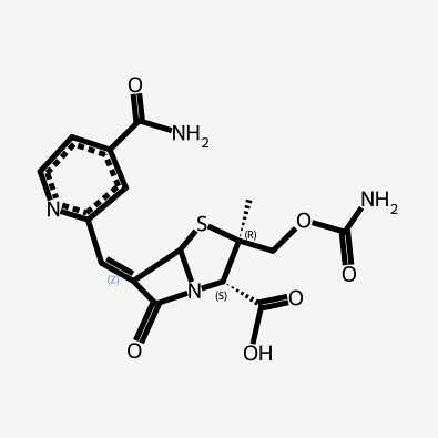 C[C@@]1(COC(N)=O)SC2/C(=C\c3cc(C(N)=O)ccn3)C(=O)N2[C@H]1C(=O)O